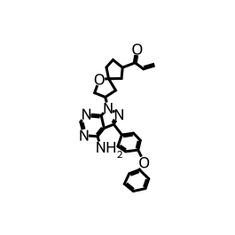 C=CC(=O)C1CCC2(C1)CC(n1nc(-c3ccc(Oc4ccccc4)cc3)c3c(N)ncnc31)CO2